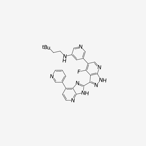 CC(C)(C)CCNc1cncc(-c2cnc3[nH]nc(-c4nc5c(-c6cccnc6)ccnc5[nH]4)c3c2F)c1